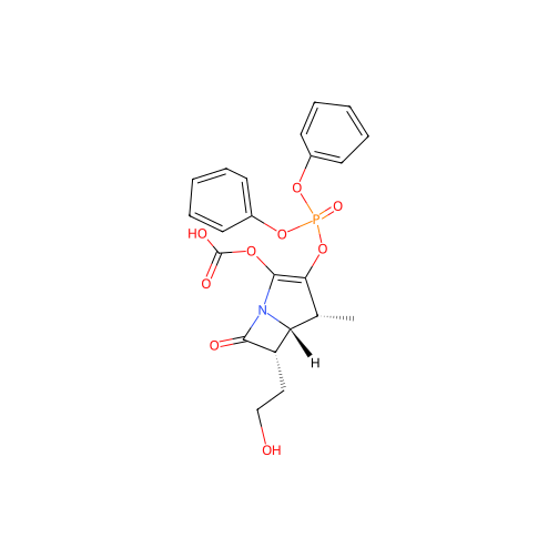 C[C@H]1C(OP(=O)(Oc2ccccc2)Oc2ccccc2)=C(OC(=O)O)N2C(=O)[C@@H](CCO)[C@@H]12